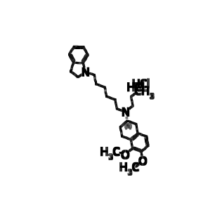 CCCN(CCCCCCN1CCc2ccccc21)[C@H]1CCc2c(ccc(OC)c2OC)C1.Cl.Cl